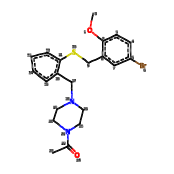 COc1ccc(Br)cc1CSc1ccccc1CN1CCN(C(C)=O)CC1